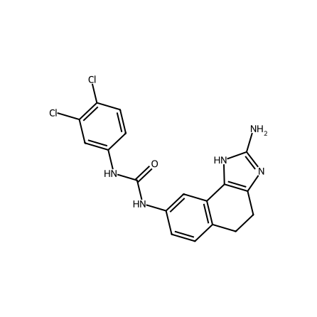 Nc1nc2c([nH]1)-c1cc(NC(=O)Nc3ccc(Cl)c(Cl)c3)ccc1CC2